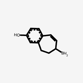 BC1C=Cc2ccc(O)cc2CC1